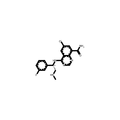 CNC[C@@H](Nc1ncnc2c(C(N)=O)cc(Cl)cc12)c1cccc(F)c1